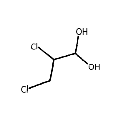 OC(O)C(Cl)CCl